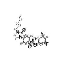 CCCCCN1CCN(c2ccc(S(=O)(=O)Oc3cc(F)cc(F)c3)cc2)C1=O